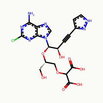 Nc1nc(Cl)nc2c1ncn2[C@H](O[C@@H](CO)COC(C(=O)O)C(=O)O)[C@H](O)C#Cc1cc[nH]n1